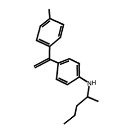 C=C(c1ccc(C)cc1)c1ccc(NC(C)CCC)cc1